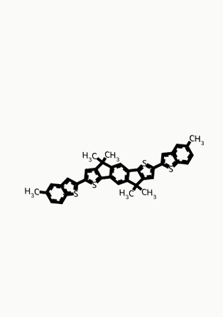 Cc1ccc2sc(-c3cc4c(s3)-c3cc5c(cc3C4(C)C)-c3sc(-c4cc6cc(C)ccc6s4)cc3C5(C)C)cc2c1